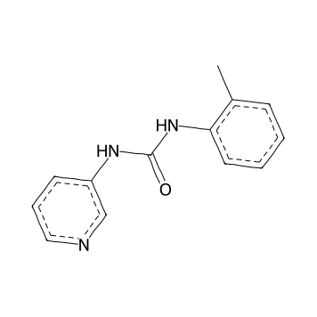 Cc1ccccc1NC(=O)Nc1cccnc1